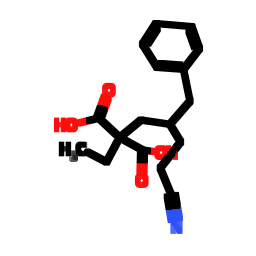 CCC(CC(CCC#N)Cc1ccccc1)(C(=O)O)C(=O)O